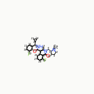 CCN1CCC[C@H]1Cn1c(C)c(C(=O)N[C@H](c2cccc(F)c2)C2CC2)c2cccc(F)c2c1=O